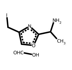 CC(N)c1nc(CI)co1.O=CO